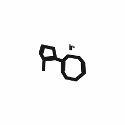 CC1=C(C2=CCCC=CCC2)CC=C1.[Ir]